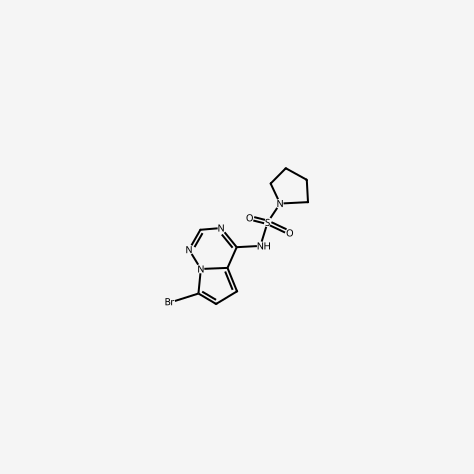 O=S(=O)(Nc1ncnn2c(Br)ccc12)N1CCCC1